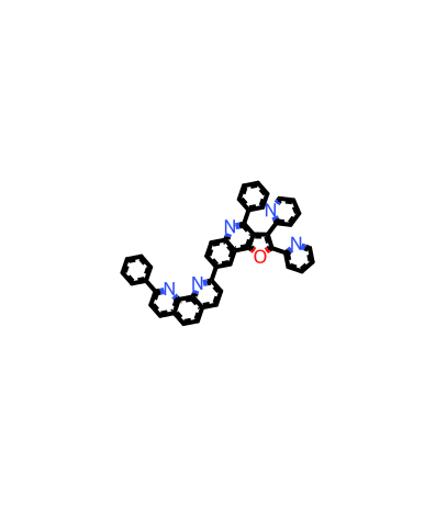 c1ccc(-c2ccc3ccc4ccc(-c5ccc6nc(-c7ccccc7)c7c(-c8ccccn8)c(-c8ccccn8)oc7c6c5)nc4c3n2)cc1